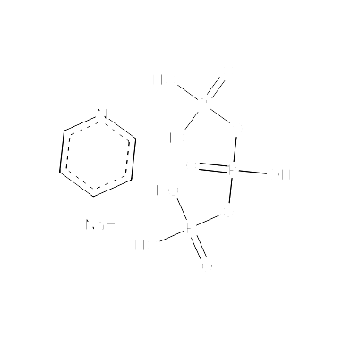 O=P(O)(O)OP(=O)(O)OP(=O)(O)O.[NaH].c1ccncc1